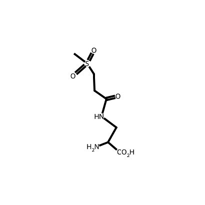 CS(=O)(=O)CCC(=O)NCC(N)C(=O)O